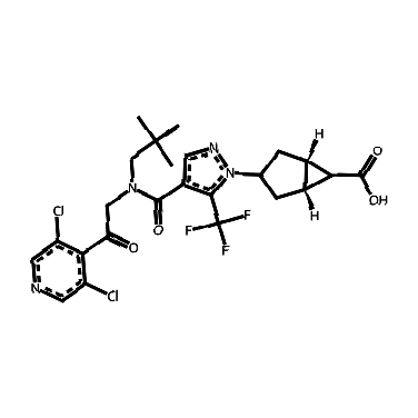 CC(C)(C)CN(CC(=O)c1c(Cl)cncc1Cl)C(=O)c1cnn(C2C[C@@H]3C(C(=O)O)[C@@H]3C2)c1C(F)(F)F